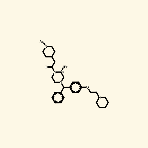 CC(=O)N1CCC(CC(=O)N2CCN(C(c3ccccc3)c3ccc(OCCN4CCCCC4)cc3)C[C@@H]2C(C)C)CC1